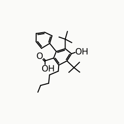 CCCCCc1c(C(=O)O)c(-c2ccccc2)c(C(C)(C)C)c(O)c1C(C)(C)C